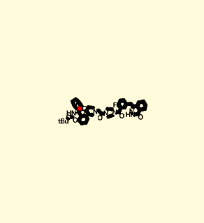 CC(C)(C)OC(=O)N[C@@H](C(=O)N1C2CCC1CC(OC1CCN(CC(=O)N3CCN(C(=O)c4cc(Cc5n[nH]c(=O)c6ccccc56)ccc4F)CC3)CC1)C2)C1CCCCC1